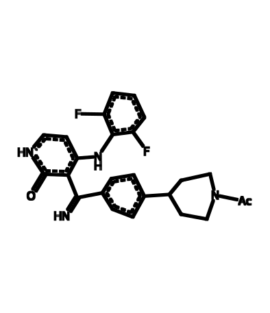 CC(=O)N1CCC(c2ccc(C(=N)c3c(Nc4c(F)cccc4F)cc[nH]c3=O)cc2)CC1